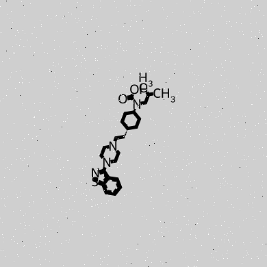 CC(C)CN(C(=O)O)[C@H]1CC[C@H](CCN2CCN(c3nsc4ccccc34)CC2)CC1